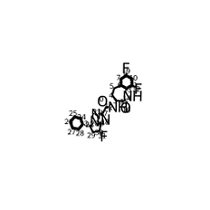 O=C(N[C@H]1CCc2cc(F)cc(F)c2NC1=O)c1nc2n(n1)[C@@H](c1ccccc1)C[C@H]2F